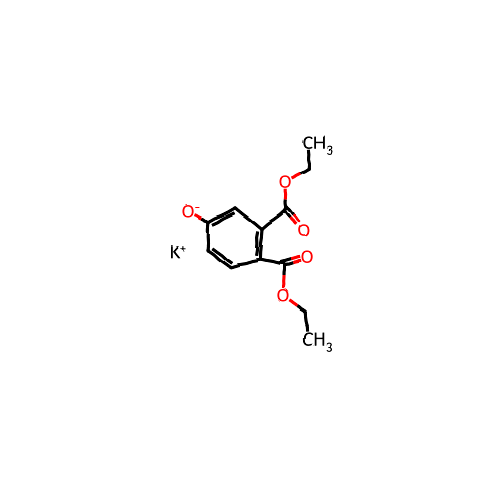 CCOC(=O)c1ccc([O-])cc1C(=O)OCC.[K+]